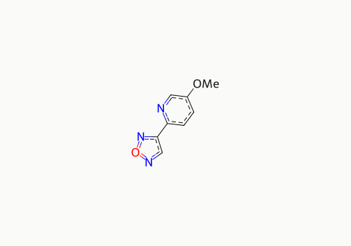 COc1ccc(-c2cnon2)nc1